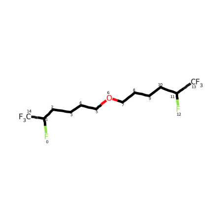 FC(CCCCOCCCCC(F)C(F)(F)F)C(F)(F)F